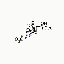 CCCCCCCCCCC(O)C#C[C@H]1[C@@H]2C(C)/C(=C/CCCC(=O)O)[C@@H]2CC[C@@H]1O